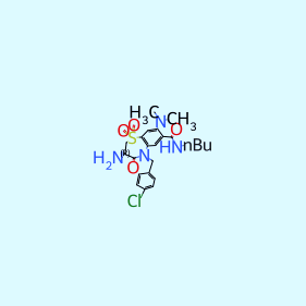 CCCCNC(=O)c1cc2c(cc1N(C)C)S(=O)(=O)C[C@H](N)C(=O)N2Cc1ccc(Cl)cc1